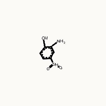 Nc1cc([SH](=O)=O)ccc1O